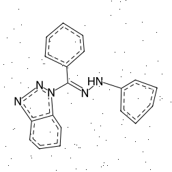 c1ccc(NN=C(c2ccccc2)n2nnc3ccccc32)cc1